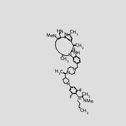 C=CCC[C@@H](C(=C)NC)c1c(F)cc(N2CCC(C(=C)N3CCN(Cc4ccc5c(c4)N4C[C@H](C)CCCC/C(NC)=C(/C=N)c6cc(cc(C)n6)C(=C)/N=C/4N5)CC3)C2)cc1F